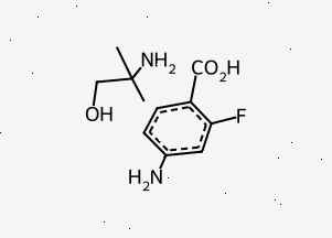 CC(C)(N)CO.Nc1ccc(C(=O)O)c(F)c1